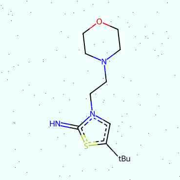 CC(C)(C)c1cn(CCN2CCOCC2)c(=N)s1